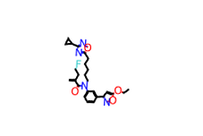 C=C(CCF)C(=O)N(CCCCCc1nc(C2CC2)no1)c1cccc(-c2cc(OCC)on2)c1